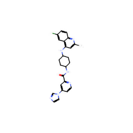 O=C(NC1CCC(Nc2cc(C(F)(F)F)nc3ccc(Cl)cc23)CC1)c1cc(-n2ccnc2)ccn1